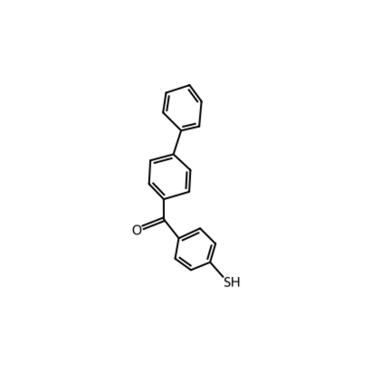 O=C(c1ccc(S)cc1)c1ccc(-c2ccccc2)cc1